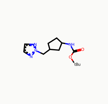 CC(C)(C)OC(=O)NC1CCC(Cn2nccn2)C1